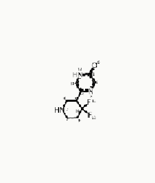 O=c1cnc(C2CNCCC2(F)F)c[nH]1